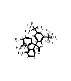 Cc1ccc(C2(c3cccc(C)c3C)C(=O)Oc3c(C(C)(C)C)cc(C(C)(C)C)cc32)cc1C